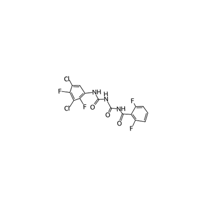 O=C(NC(=O)Nc1cc(Cl)c(F)c(Cl)c1F)NC(=O)c1c(F)cccc1F